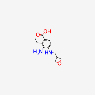 CCc1c(C(=O)O)ccc(NCC2COC2)c1N